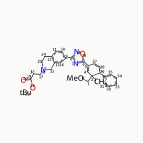 COCC1(C)C=C(c2nc(-c3ccc4c(c3)CN(CCC(=O)OC(C)(C)C)CC4)no2)C=CC1c1ccccc1